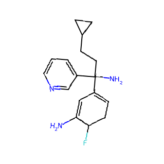 NC1=CC(C(N)(CCC2CC2)c2cccnc2)=CCC1F